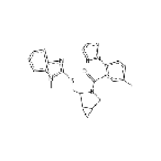 Cc1ccc(-n2nccn2)c(C(=O)N2CC3CC3C2CSc2nc3ccccc3n2C)c1